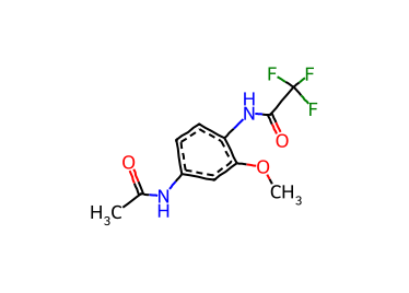 COc1cc(NC(C)=O)ccc1NC(=O)C(F)(F)F